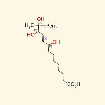 CCCCC[C@](C)(O)[C@H](O)/C=C/[C@@H](O)CCCCCCCC(=O)O